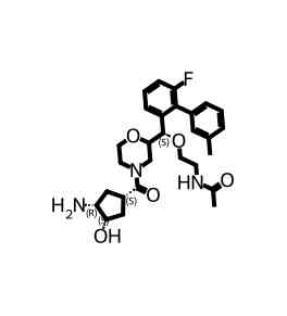 CC(=O)NCCO[C@@H](c1cccc(F)c1-c1cccc(C)c1)C1CN(C(=O)[C@H]2C[C@@H](N)[C@@H](O)C2)CCO1